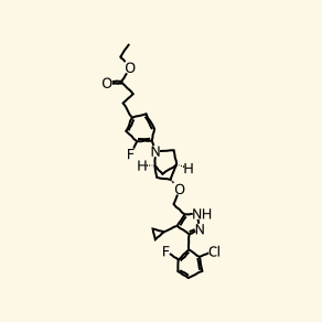 CCOC(=O)CCc1ccc(N2C[C@@H]3C[C@H]2C[C@H]3OCc2[nH]nc(-c3c(F)cccc3Cl)c2C2CC2)c(F)c1